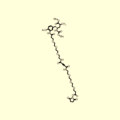 CC(=O)Oc1ccc(C[C@@H](CC(C)C(=O)OC(C)(C)C)NC(=O)OC(C)(C)C)cc1NC(=O)CCOCCOCCOCCNC(=O)C#CC(=O)NCCOCCOCCOCCC(=O)ON1C(=O)CCC1=O